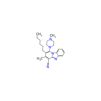 CCCCCCc1c(C)c(C#N)c2nc3ccccc3n2c1N1CCN(C)CC1